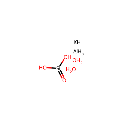 O.O.O=[Si](O)O.[AlH3].[KH]